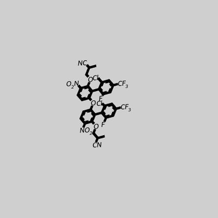 CC(C#N)COc1c([N+](=O)[O-])ccc(Oc2ccc([N+](=O)[O-])c(OCC(C)C#N)c2-c2c(F)cc(C(F)(F)F)cc2Cl)c1-c1c(F)cc(C(F)(F)F)cc1Cl